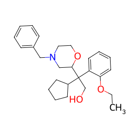 CCOc1ccccc1C(CO)(C1CCCC1)C1CN(Cc2ccccc2)CCO1